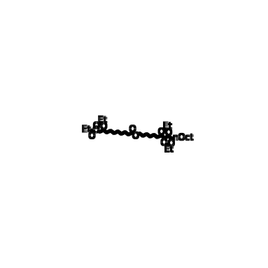 CCCCCCCCC(OC(=O)CC)C(CCCCCCCCOC(=O)CCCCCCCC(COC(=O)CC)OC(=O)CC)OC(=O)CC